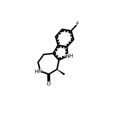 C[C@H]1C(=O)NCCc2c1[nH]c1cc(F)ccc21